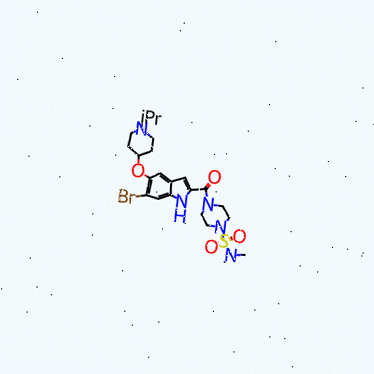 CC(C)N1CCC(Oc2cc3cc(C(=O)N4CCN(S(=O)(=O)N(C)C)CC4)[nH]c3cc2Br)CC1